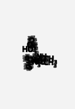 CC(C)(C)OC(=O)NC(CCCCN(Cc1ccccc1)C(=O)O)C(=O)N(CCc1cccs1)Cc1cccs1